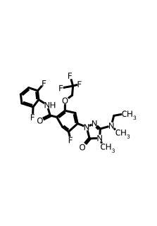 CCN(C)c1nn(-c2cc(OCC(F)(F)F)c(C(=O)Nc3c(F)cccc3F)cc2F)c(=O)n1C